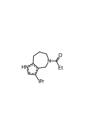 CCC(=O)N1CCCc2[nH]cc(C(C)C)c2C1